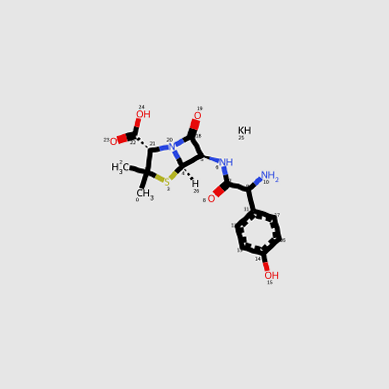 CC1(C)S[C@@H]2[C@H](NC(=O)C(N)c3ccc(O)cc3)C(=O)N2[C@H]1C(=O)O.[KH]